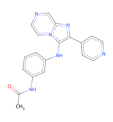 CC(=O)Nc1cccc(Nc2c(-c3ccncc3)nc3cnccn23)c1